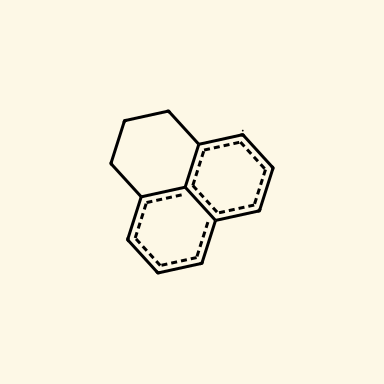 [c]1ccc2cccc3c2c1CCC3